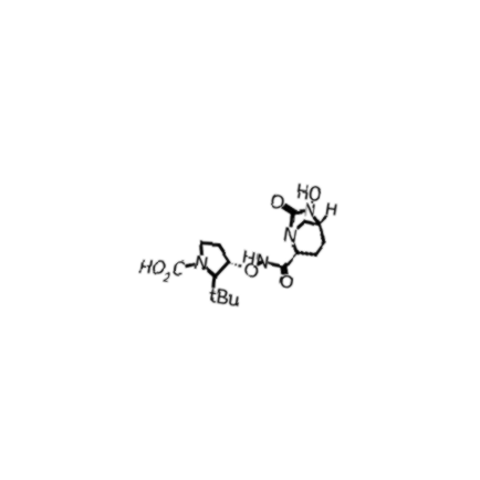 CC(C)(C)C1[C@@H](ONC(=O)[C@@H]2CC[C@@H]3CN2C(=O)N3O)CCN1C(=O)O